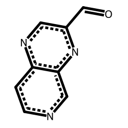 O=Cc1cnc2ccncc2n1